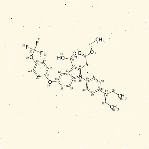 CCOC(=O)Cc1c(C(=O)O)c2cc(Oc3ccc(OC(F)(F)F)cc3)ccc2n1-c1ccc(N(CC)CC)cc1